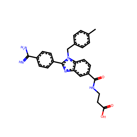 Cc1ccc(Cn2c(-c3ccc(C(=N)N)cc3)nc3cc(C(=O)NCCC(=O)O)ccc32)cc1